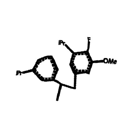 COc1cc(CC(C)c2cccc(C(C)C)c2)cc(C(C)C)c1F